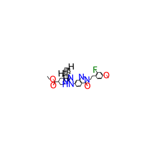 CCOC(=O)C1CCN(C(=NC2C[C@H]3C[C@H]([C@H]2C)C3(C)C)Nc2ccc3c(=O)n(CCc4ccc(OC)cc4F)cnc3c2)CC1